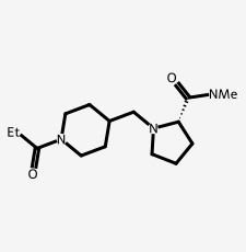 CCC(=O)N1CCC(CN2CCC[C@H]2C(=O)NC)CC1